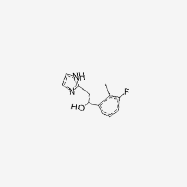 Cc1c(F)cccc1C(O)Cc1ncc[nH]1